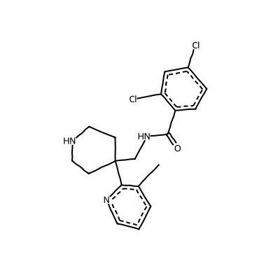 Cc1cccnc1C1(CNC(=O)c2ccc(Cl)cc2Cl)CCNCC1